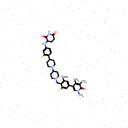 COc1cc(-c2cn(C)c(=O)c(C)c2C)cc(F)c1CN1CCC(N2CCC(c3ccc(NC4CCC(=O)NC4=O)cc3F)CC2)CC1